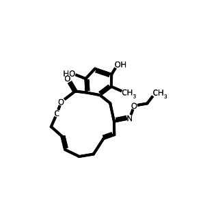 CCO/N=C1/C=C/CC/C=C/CCOC(=O)c2c(O)cc(O)c(C)c2C1